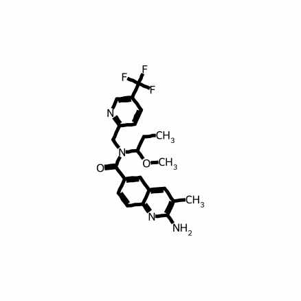 CCC(OC)N(Cc1ccc(C(F)(F)F)cn1)C(=O)c1ccc2nc(N)c(C)cc2c1